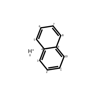 [H+].[c]1ccc2ccccc2c1